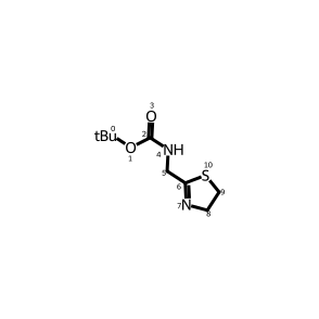 CC(C)(C)OC(=O)NCC1=NCCS1